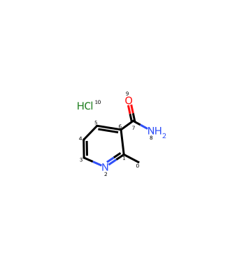 Cc1ncccc1C(N)=O.Cl